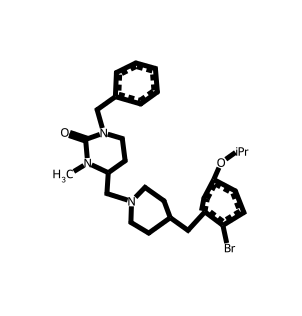 CC(C)Oc1ccc(Br)c(CC2CCN(CC3CCN(Cc4ccccc4)C(=O)N3C)CC2)c1